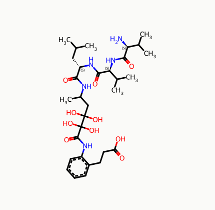 CC(C)C[C@H](NC(=O)[C@@H](NC(=O)[C@@H](N)C(C)C)C(C)C)C(=O)NC(C)CC(O)(O)C(O)(O)C(=O)Nc1ccccc1CCC(=O)O